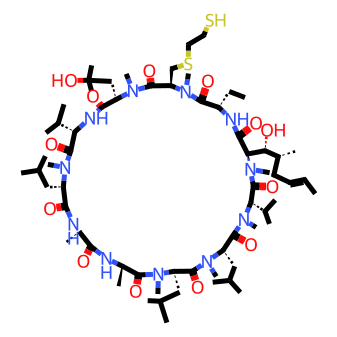 C/C=C/C[C@@H](C)[C@@H](O)[C@H]1C(=O)N[C@@H](CC)C(=O)N(C)[C@H](CSCCS)C(=O)N(C)[C@@H](CC(C)(C)O)C(=O)N[C@@H](C(C)C)C(=O)N(C)[C@@H](CC(C)C)C(=O)N[C@@H](C)C(=O)N[C@H](C)C(=O)N(C)[C@@H](CC(C)C)C(=O)N(C)[C@@H](CC(C)C)C(=O)N(C)[C@@H](C(C)C)C(=O)N1C